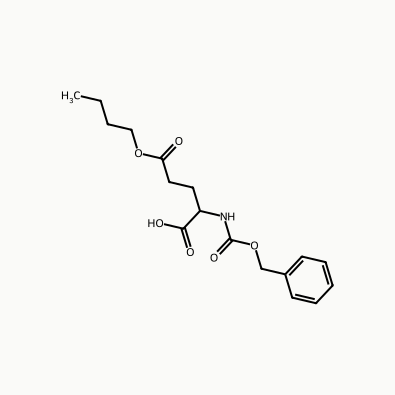 CCCCOC(=O)CCC(NC(=O)OCc1ccccc1)C(=O)O